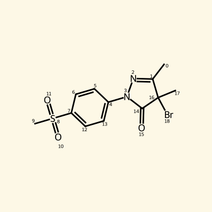 CC1=NN(c2ccc(S(C)(=O)=O)cc2)C(=O)C1(C)Br